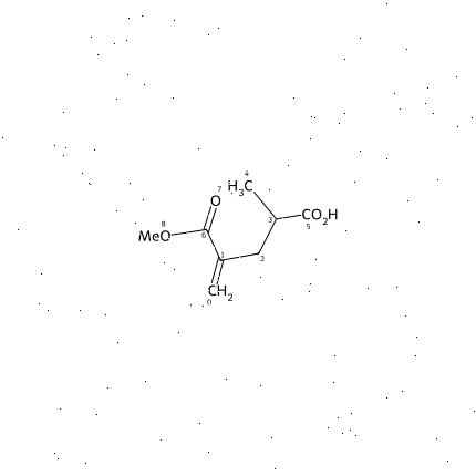 C=C(CC(C)C(=O)O)C(=O)OC